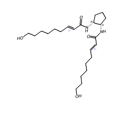 O=C(/C=C/CCCCCCO)N[C@H]1CCC[C@H]1NC(=O)/C=C/CCCCCCO